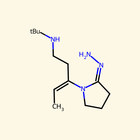 C/C=C(/CCNC(C)(C)C)N1CCC/C1=N/N